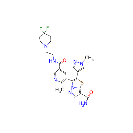 Cc1ncc(C(=O)NCCN2CCC(F)(F)CC2)cc1-c1c(-c2cnn(C)c2)sc2c(C(N)=O)cnn12